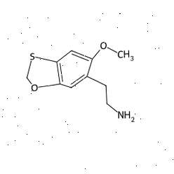 COc1cc2c(cc1CCN)OCS2